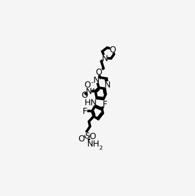 NS(=O)(=O)CCCc1ccc(F)c(Nc2ccc3ncc(OCCN4CCOCC4)nc3c2[N+](=O)[O-])c1F